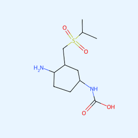 CC(C)S(=O)(=O)CC1CC(NC(=O)O)CCC1N